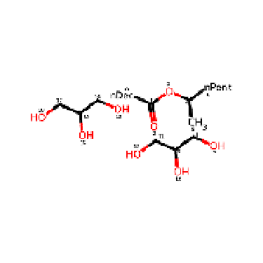 CCCCCCCCCCC(=O)OC(C)CCCCC.OCC(O)CO.OCC(O)CO